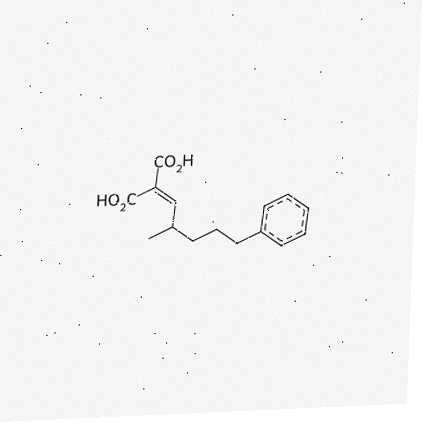 CC(C=C(C(=O)O)C(=O)O)CCCc1ccccc1